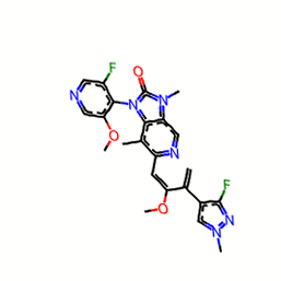 C=C(/C(=C\c1ncc2c(c1C)n(-c1c(F)cncc1OC)c(=O)n2C)OC)c1cn(C)nc1F